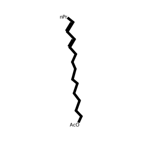 CCC/C=C/C=C/CCCCCCCCCOC(C)=O